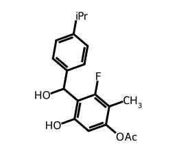 CC(=O)Oc1cc(O)c(C(O)c2ccc(C(C)C)cc2)c(F)c1C